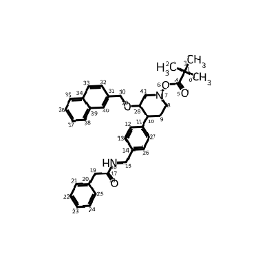 CC(C)(C)C(=O)ON1CCC(c2ccc(CNC(=O)Cc3ccccc3)cc2)C(OCc2ccc3ccccc3c2)C1